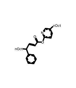 CCCCCCCCc1ccc(OC(=O)/C=C/C(CCCCCCCC)c2ccccc2)nc1